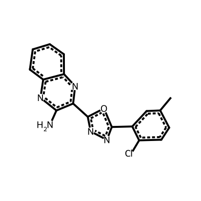 Cc1ccc(Cl)c(-c2nnc(-c3nc4ccccc4nc3N)o2)c1